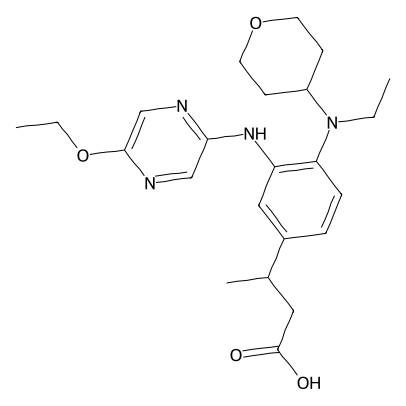 CCOc1cnc(Nc2cc(C(C)CC(=O)O)ccc2N(CC)C2CCOCC2)cn1